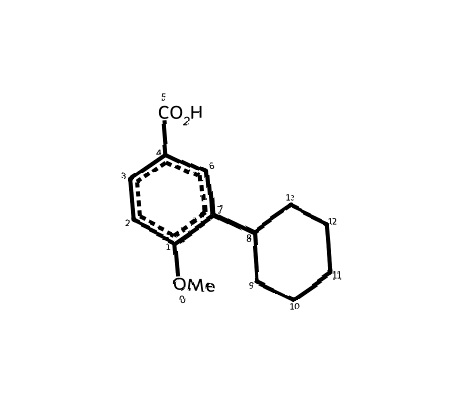 COc1ccc(C(=O)O)cc1C1CCCCC1